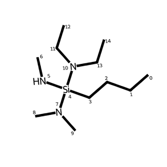 CCCC[Si](NC)(N(C)C)N(CC)CC